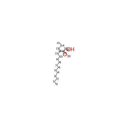 CCCCCCCCCCCCC(CCC)C(CO)OC